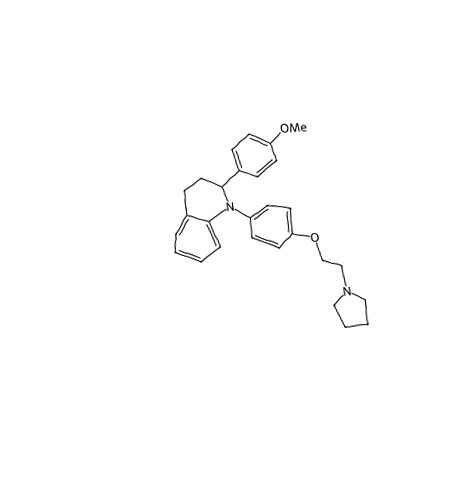 COc1ccc(C2CCc3ccccc3N2c2ccc(OCCN3CCCC3)cc2)cc1